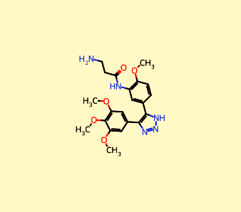 COc1ccc(-c2[nH]nnc2-c2cc(OC)c(OC)c(OC)c2)cc1NC(=O)CCN